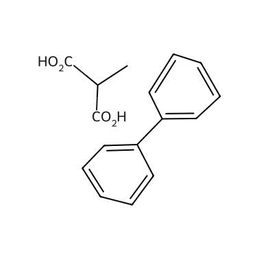 CC(C(=O)O)C(=O)O.c1ccc(-c2ccccc2)cc1